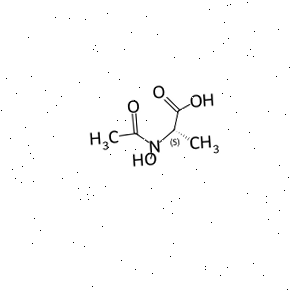 CC(=O)N(O)[C@@H](C)C(=O)O